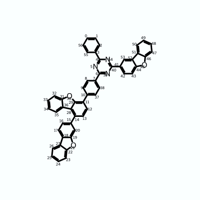 c1ccc(-c2nc(-c3ccc(-c4ccc(-c5ccc6c(c5)oc5ccccc56)c5c4oc4ccccc45)cc3)nc(-c3ccc4oc5ccccc5c4c3)n2)cc1